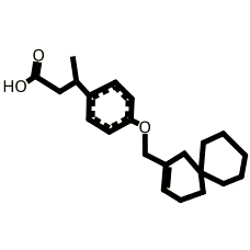 CC(CC(=O)O)c1ccc(OCC2=CCCC3(CCCCC3)C2)cc1